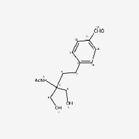 CC(=O)NC(CO)(CO)CCc1ccc(C=O)cc1